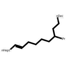 [CH2]CCCCCC/C=C/CCCCC(CCCCCCCCCCC[CH2])C(C)C